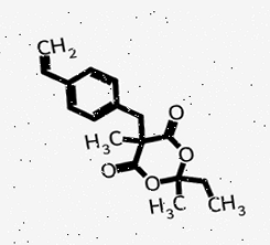 C=Cc1ccc(CC2(C)C(=O)OC(C)(CC)OC2=O)cc1